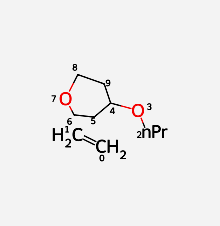 C=C.CCCOC1CCOCC1